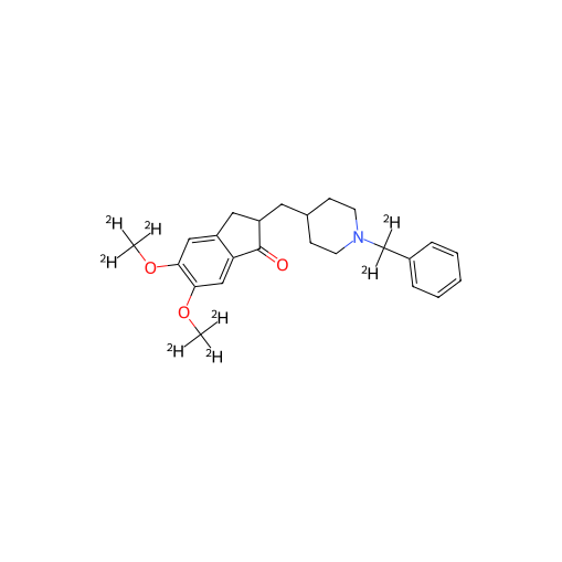 [2H]C([2H])([2H])Oc1cc2c(cc1OC([2H])([2H])[2H])C(=O)C(CC1CCN(C([2H])([2H])c3ccccc3)CC1)C2